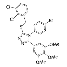 COc1cc(-c2nnc(SCc3cccc(Cl)c3Cl)n2-c2ccc(Br)cc2)cc(OC)c1OC